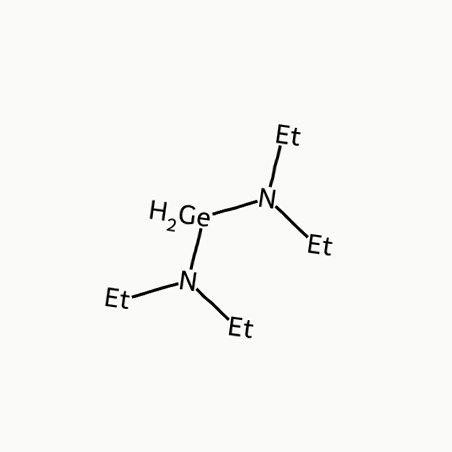 CC[N](CC)[GeH2][N](CC)CC